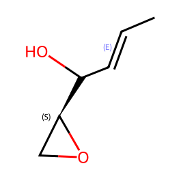 C/C=C/C(O)[C@@H]1CO1